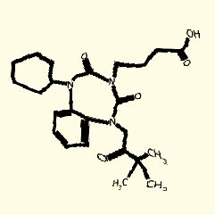 CC(C)(C)C(=O)CN1C(=O)N(CCCC(=O)O)C(=O)N(C2CCCCC2)c2ccccc21